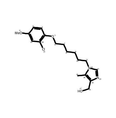 COc1ccc(OCCCCCCn2cnc(CO)c2C)c(Cl)c1